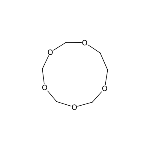 C1COCOCOCOCO1